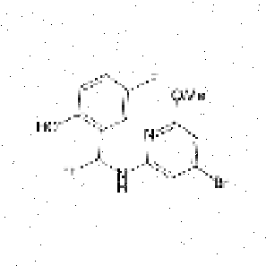 CCC(Nc1cc(Br)cc(OC)n1)c1cc(F)ccc1O